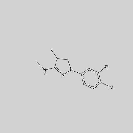 CNC1=NN(c2ccc(Cl)c(Cl)c2)CC1C